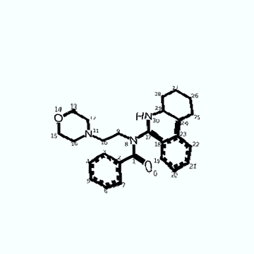 O=C(c1ccccc1)N(CCN1CCOCC1)C1=c2ccccc2=C2CCCCC2N1